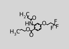 C=CC(=O)Nc1cc(OCCC(F)(F)F)ccc1C(=O)OCCC